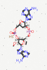 CC[C@@]12CO[PH](=O)O[C@@H]3C[C@@H](CO[P@@](=O)(S)O[C@H]1[C@@H](OC)[C@H](n1cnc4c(N)ncnc41)O2)O[C@H]3n1cnc2c(N)ncnc21